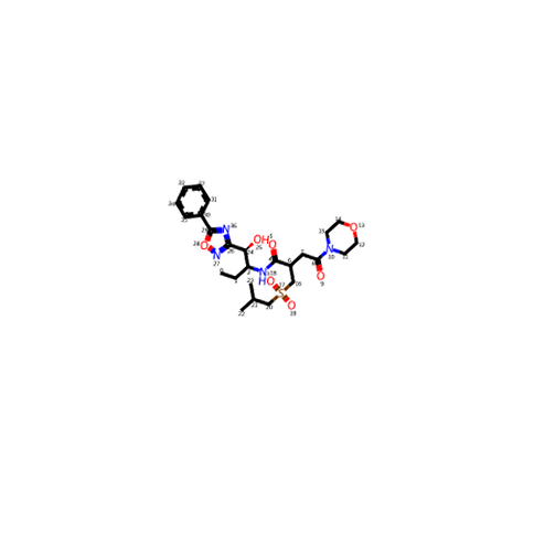 CCC(NC(=O)C(CC(=O)N1CCOCC1)CS(=O)(=O)CC(C)C)[C@H](O)c1noc(-c2ccccc2)n1